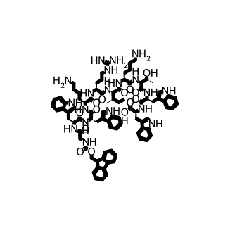 CC[C@H](C)[C@H](NC(=O)[C@H](CCCNC(=N)N)NC(=O)[C@H](CCCCN)NC(=O)[C@H](Cc1c[nH]c2ccccc12)NC(=O)[C@H](Cc1c[nH]c2ccccc12)NC(=O)CNC(=O)OCC1c2ccccc2-c2ccccc21)C(=O)N[C@@H](CCCCN)C(=O)N[C@H](C(=O)N[C@@H](Cc1c[nH]c2ccccc12)C(=O)N[C@@H](Cc1c[nH]c2ccccc12)C(=O)O)[C@@H](C)O